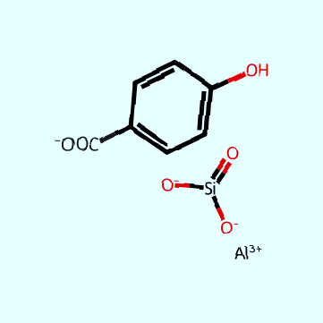 O=C([O-])c1ccc(O)cc1.O=[Si]([O-])[O-].[Al+3]